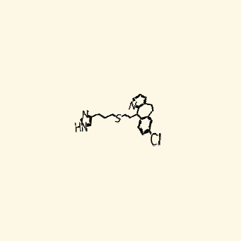 Clc1ccc2c(c1)CCc1cccnc1C2CCSCCCc1c[nH]cn1